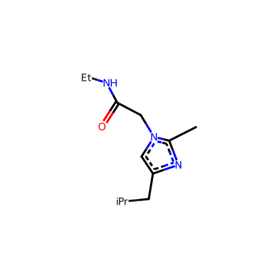 CCNC(=O)Cn1cc(CC(C)C)nc1C